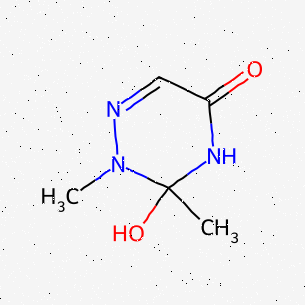 CN1N=CC(=O)NC1(C)O